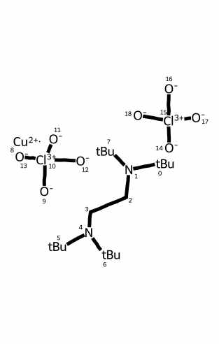 CC(C)(C)N(CCN(C(C)(C)C)C(C)(C)C)C(C)(C)C.[Cu+2].[O-][Cl+3]([O-])([O-])[O-].[O-][Cl+3]([O-])([O-])[O-]